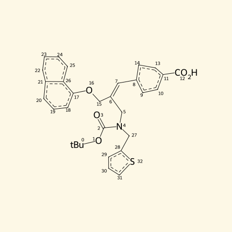 CC(C)(C)OC(=O)N(C/C(=C\c1ccc(C(=O)O)cc1)COc1cccc2ccccc12)Cc1cccs1